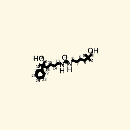 CC(C)(CO)CCCCNC(=O)NCCCCC(C)(CO)c1ccccc1